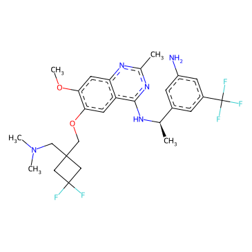 COc1cc2nc(C)nc(N[C@H](C)c3cc(N)cc(C(F)(F)F)c3)c2cc1OCC1(CN(C)C)CC(F)(F)C1